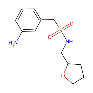 Nc1cccc(CS(=O)(=O)NCC2CCCO2)c1